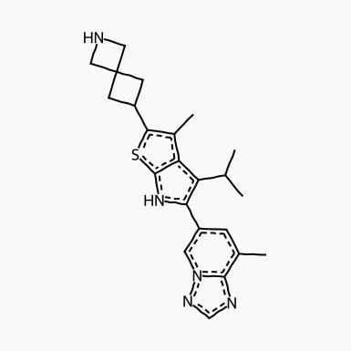 Cc1c(C2CC3(CNC3)C2)sc2[nH]c(-c3cc(C)c4ncnn4c3)c(C(C)C)c12